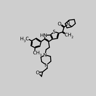 C=C(C(=O)N1C2CCC1CC2)c1cc2c(CCN3CCN(CC4CO4)CC3)c(-c3cc(C)cc(C)c3)[nH]c2s1